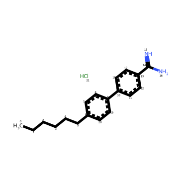 CCCCCCc1ccc(-c2ccc(C(=N)N)cc2)cc1.Cl